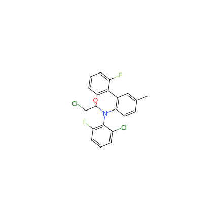 Cc1ccc(N(C(=O)CCl)c2c(F)cccc2Cl)c(-c2ccccc2F)c1